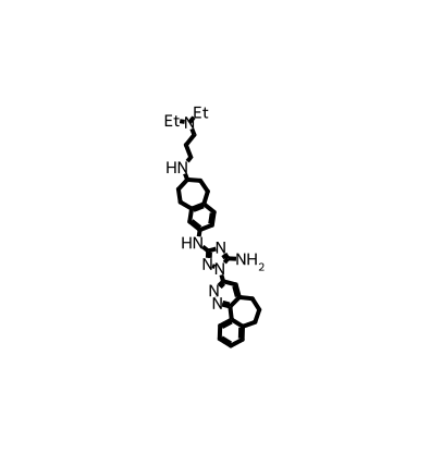 CCN(CC)CCCNC1CCc2ccc(Nc3nc(N)n(-c4cc5c(nn4)-c4ccccc4CCC5)n3)cc2CC1